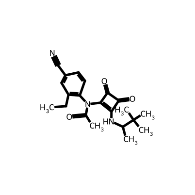 CCc1cc(C#N)ccc1N(C(C)=O)c1c(NC(C)C(C)(C)C)c(=O)c1=O